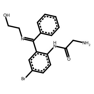 NCC(=O)Nc1ccc(Br)cc1C(=NCCO)c1ccccc1